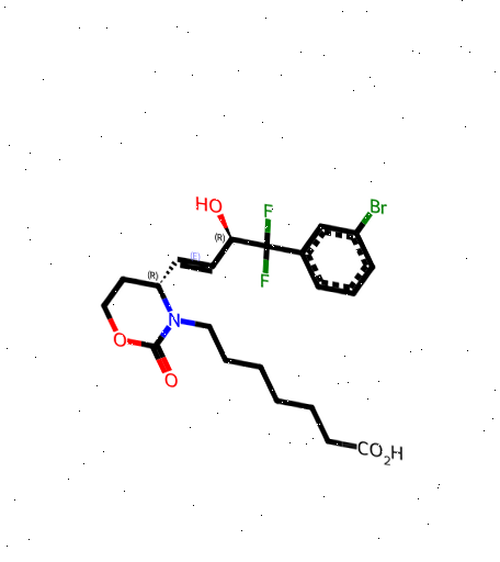 O=C(O)CCCCCCN1C(=O)OCC[C@@H]1/C=C/[C@@H](O)C(F)(F)c1cccc(Br)c1